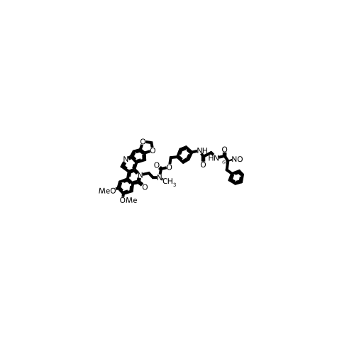 COc1cc2c(=O)n(CCN(C)C(=O)OCc3ccc(NC(=O)CNC(=O)[C@H](Cc4ccccc4)N=O)cc3)c3c4cc5c(cc4ncc3c2cc1OC)OCO5